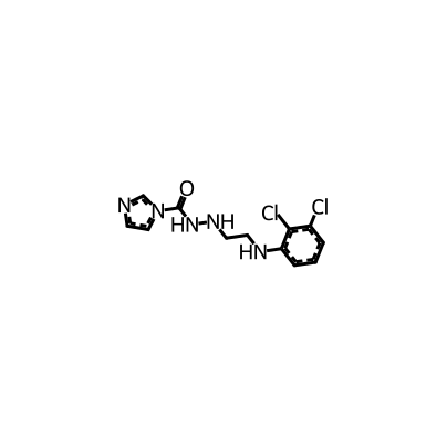 O=C(NNCCNc1cccc(Cl)c1Cl)n1ccnc1